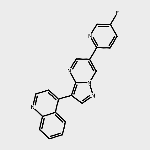 Fc1ccc(-c2cnc3c(-c4ccnc5ccccc45)cnn3c2)nc1